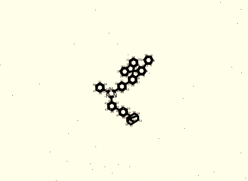 c1ccc(-c2ccc3c(c2)C2(c4ccccc4-c4ccccc42)c2cc(-c4ccc(-c5nc(-c6ccccc6)nc(-c6cccc(-c7ccc(C89CC%10CC(CC(C%10)C8)C9)cc7)c6)n5)cc4)ccc2-3)cc1